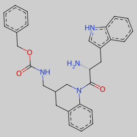 N[C@H](Cc1c[nH]c2ccccc12)C(=O)N1CC(CNC(=O)OCc2ccccc2)Cc2ccccc21